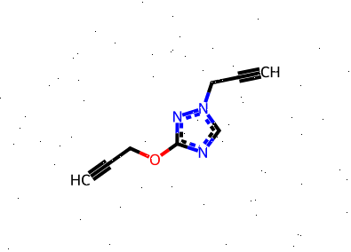 C#CCOc1ncn(CC#C)n1